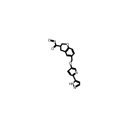 O=NC(=O)C1COc2ccc(COc3ccc(-c4ccn[nH]4)nc3)cc2C1